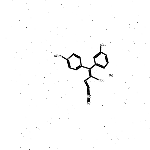 CCCCCCCCc1ccc(C(=C(C=C=[N+]=[N-])CCCC)c2cccc(CCCC)c2)cc1.[Pd]